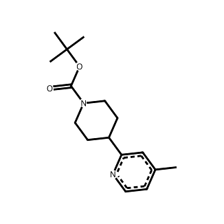 Cc1ccnc(C2CCN(C(=O)OC(C)(C)C)CC2)c1